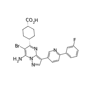 Nc1c(Br)c([C@H]2CC[C@@H](C(=O)O)CC2)nc2c(-c3ccc(-c4cccc(F)c4)nc3)cnn12